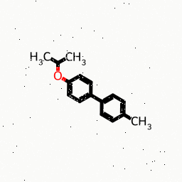 Cc1ccc(-c2ccc(OC(C)C)cc2)cc1